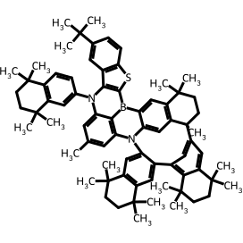 Cc1cc2c3c(c1)N(c1ccc4c(c1)C(C)(C)CCC4(C)C)c1c(sc4ccc(C(C)(C)C)cc14)B3c1cc3c4cc1N2c1cc2c(cc1-c1cc(cc5c1C(C)(C)CCC5(C)C)C4(C)CCC3(C)C)C(C)(C)CCC2(C)C